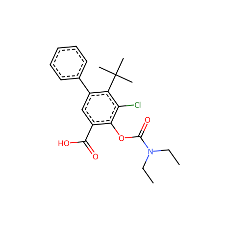 CCN(CC)C(=O)Oc1c(C(=O)O)cc(-c2ccccc2)c(C(C)(C)C)c1Cl